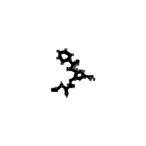 CC(C)(C)OC(=O)NCc1cc(C(F)(F)F)nn1NC(=O)c1ccccc1